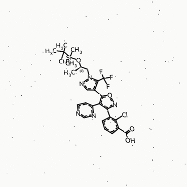 C[C@H](Cn1ncc(-c2onc(-c3cccc(C(=O)O)c3Cl)c2-c2ccncn2)c1C(F)(F)F)O[Si](C)(C)C(C)(C)C